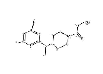 Cc1cc(F)cc(N(C)C2CCN(C(=O)OC(C)(C)C)CC2)c1